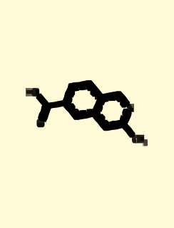 Cc1cc2cc(C(=O)O)ccc2cn1